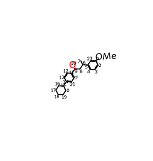 COc1cccc(C(C)CC(=O)c2ccc(C3CCCCC3)cc2)c1